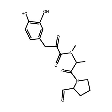 CC(C(=O)N1CCCC1C=O)N(C)C(=O)C(=O)Cc1ccc(O)c(O)c1